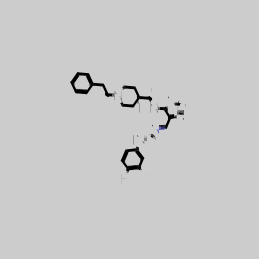 O=C(Nc1nonc1/C=N/ONc1ccc(F)c(Br)c1)C1CCN(C(=O)Cc2ccccc2)CC1